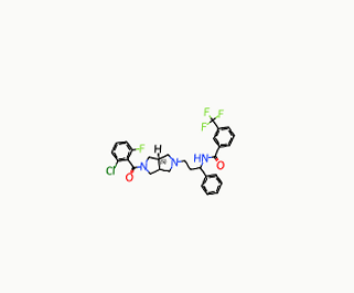 O=C(NC(CCN1CC2CN(C(=O)c3c(F)cccc3Cl)C[C@@H]2C1)c1ccccc1)c1cccc(C(F)(F)F)c1